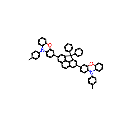 Cc1ccc(N2c3ccccc3Oc3cc(-c4cc5c6c(ccc7cc(-c8ccc9c(c8)Oc8ccccc8N9c8ccc(C)cc8)cc(c76)C5(c5ccccc5)c5ccccc5)c4)ccc32)cc1